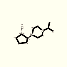 CC(C)N1CCN([C@H]2CCC[C@@H]2Cl)CC1